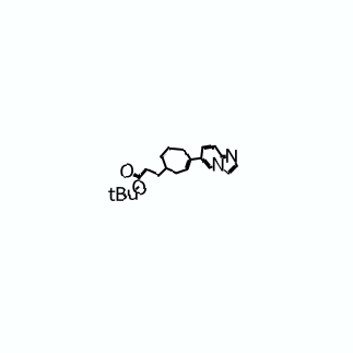 CC(C)(C)OC(=O)CCC1CC=C(c2ccc3nccn3c2)CCC1